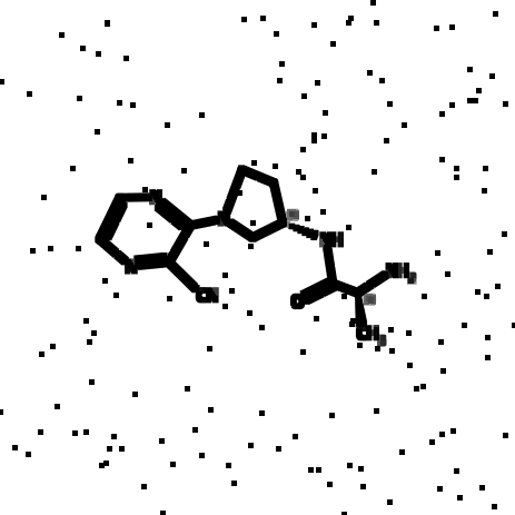 C[C@H](N)C(=O)N[C@H]1CCN(c2nccnc2C#N)C1